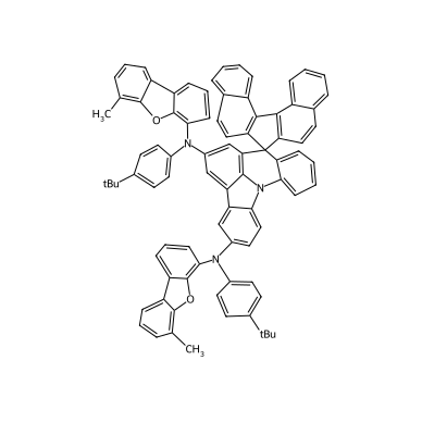 Cc1cccc2c1oc1c(N(c3ccc(C(C)(C)C)cc3)c3ccc4c(c3)c3cc(N(c5ccc(C(C)(C)C)cc5)c5cccc6c5oc5c(C)cccc56)cc5c3n4-c3ccccc3C53c4ccc5ccccc5c4-c4c3ccc3ccccc43)cccc12